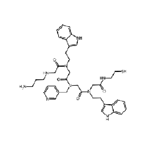 NCCCNCC(=O)N(CCc1c[nH]c2ccccc12)CC(=O)N(CC(=O)N(CCc1c[nH]c2ccccc12)CC(=O)NCCS)Cc1cccnc1